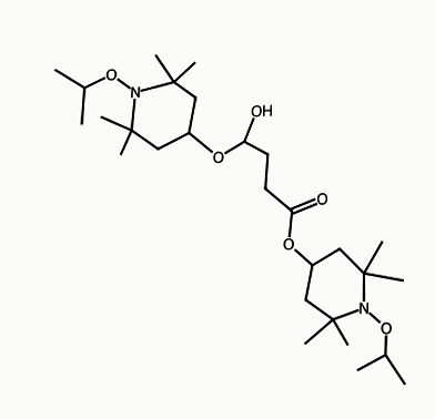 CC(C)ON1C(C)(C)CC(OC(=O)CCC(O)OC2CC(C)(C)N(OC(C)C)C(C)(C)C2)CC1(C)C